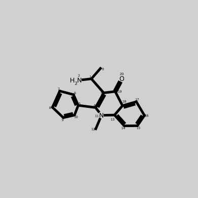 CC(N)c1c(-c2ccccc2)n(C)c2ccccc2c1=O